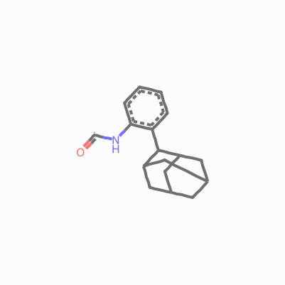 O=[C]Nc1ccccc1C1C2CC3CC(C2)CC1C3